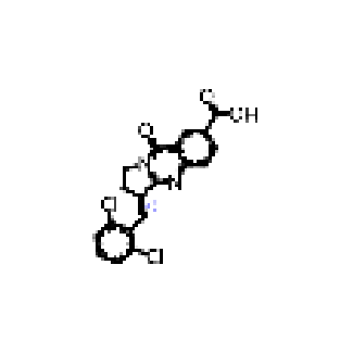 O=C(O)c1ccc2nc3n(c(=O)c2c1)CC/C3=C\c1c(Cl)cccc1Cl